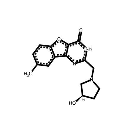 Cc1ccc2oc3c(=O)[nH]c(CN4CC[C@@H](O)C4)nc3c2c1